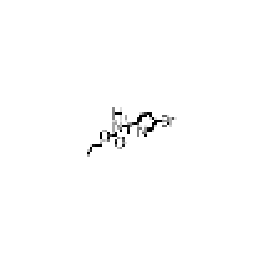 CCCOC(=O)NC(C)(C)c1ccc(Br)cn1